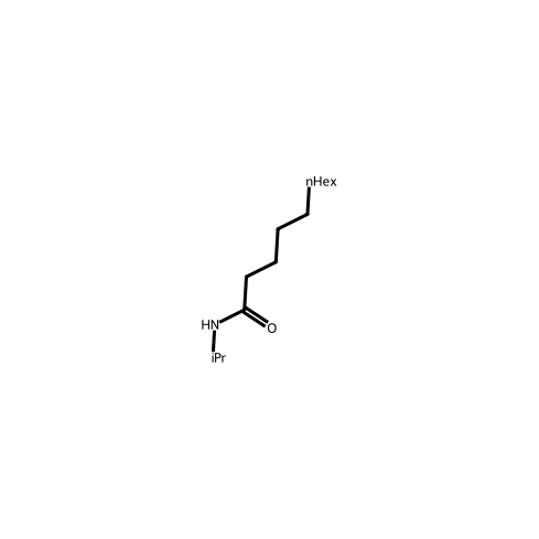 CCCCCCCCCCC(=O)NC(C)C